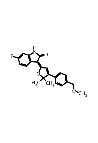 COCc1ccc(C2=C/C(=C3\C(=O)Nc4cc(F)ccc43)OC2(C)C)cc1